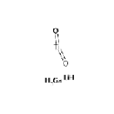 [GaH3].[LiH].[O]=[Ti]=[O]